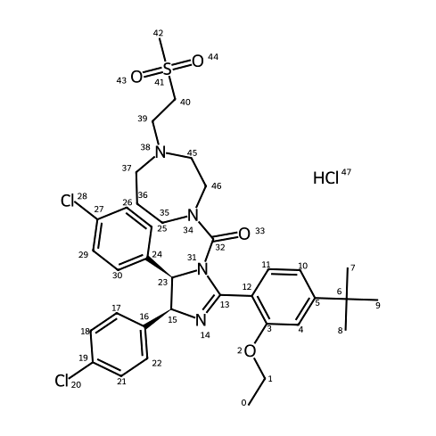 CCOc1cc(C(C)(C)C)ccc1C1=N[C@@H](c2ccc(Cl)cc2)[C@@H](c2ccc(Cl)cc2)N1C(=O)N1CCCN(CCS(C)(=O)=O)CC1.Cl